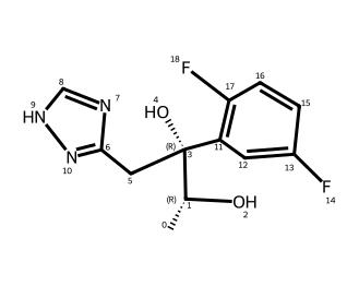 C[C@@H](O)[C@@](O)(Cc1nc[nH]n1)c1cc(F)ccc1F